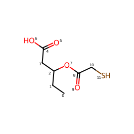 CCC(CC(=O)O)OC(=O)CS